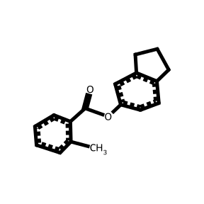 Cc1ccccc1C(=O)Oc1ccc2c(c1)CCC2